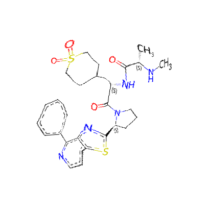 CN[C@@H](C)C(=O)N[C@H](C(=O)N1CCC[C@H]1c1nc2c(-c3ccccc3)nccc2s1)C1CCS(=O)(=O)CC1